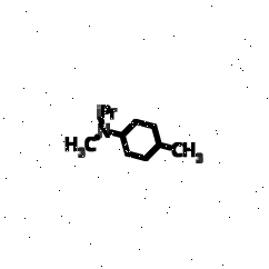 CC1CCC(N(C)C(C)C)CC1